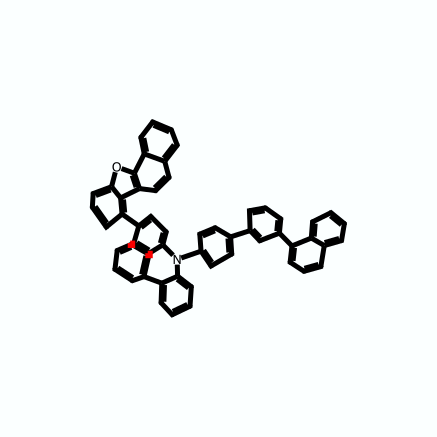 c1ccc(-c2ccccc2N(c2ccc(-c3cccc(-c4cccc5ccccc45)c3)cc2)c2ccc(-c3cccc4oc5c6ccccc6ccc5c34)cc2)cc1